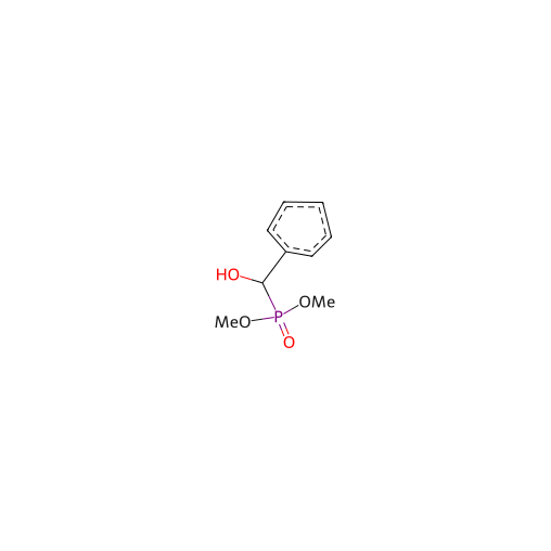 COP(=O)(OC)C(O)c1ccccc1